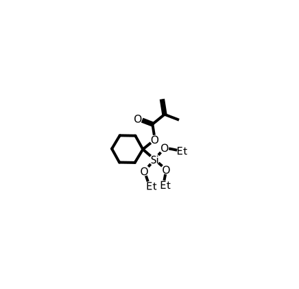 C=C(C)C(=O)OC1([Si](OCC)(OCC)OCC)CCCCC1